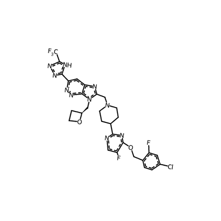 Fc1cc(Cl)ccc1COc1nc(C2CCN(Cc3nc4cc(-c5nnc(C(F)(F)F)[nH]5)nnc4n3C[C@@H]3CCO3)CC2)ncc1F